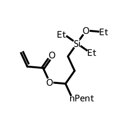 C=CC(=O)OC(CCCCC)CC[Si](CC)(CC)OCC